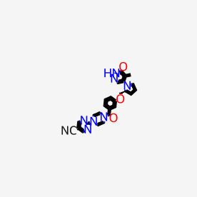 Cc1c(N2CCC[C@H]2COc2cccc(C(=O)N3CCN(c4ncc(C#N)cn4)CC3)c2)cn[nH]c1=O